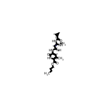 CCCCOC(=O)c1[nH]c(=O)c(NC(=N)/C=C(\NN)NC(=O)C2CC2)cc1C